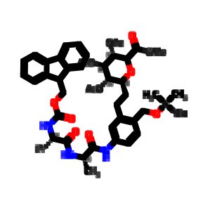 COC(=O)C1O[C@@H](CCc2cc(NC(=O)[C@H](C)NC(=O)[C@@H](NC(=O)OCC3c4ccccc4-c4ccccc43)C(C)C)ccc2CO[Si](C)(C)C(C)(C)C)[C@H](OC(C)=O)[C@@H](OC(C)=O)[C@@H]1OC(C)=O